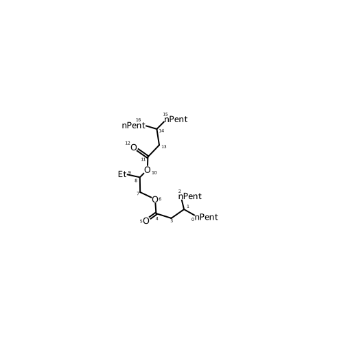 CCCCCC(CCCCC)CC(=O)OCC(CC)OC(=O)CC(CCCCC)CCCCC